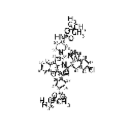 CC(C)(C)OC(=O)NC1CCN(C2CC(c3ccccc3)C(C(=O)Nc3ccc(C(=O)OC(C)(C)C)cc3)N(C(=O)C=Cc3cc(Cl)ccc3-n3cnnn3)C2)CC1